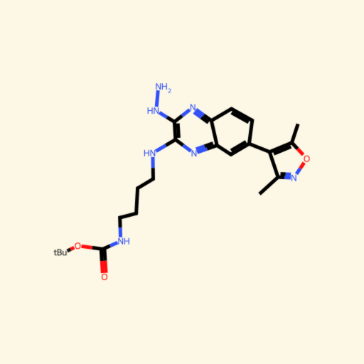 Cc1noc(C)c1-c1ccc2nc(NN)c(NCCCCNC(=O)OC(C)(C)C)nc2c1